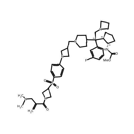 C=C(CN(C)C)C(=O)N1CC(S(=O)(=O)c2ccc(N3CC(CN4CCC([C@@](CN5CCC5)(c5cccc(F)c5)[C@H]5CCC[C@@H]5NC(=O)OC)CC4)C3)cc2)C1